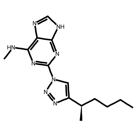 CCCC[C@@H](C)c1cn(-c2nc(NC)c3nc[nH]c3n2)nn1